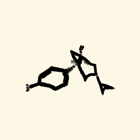 Brc1ccc([C@]23C[C@H]2CN(C2CC2)C3)cc1